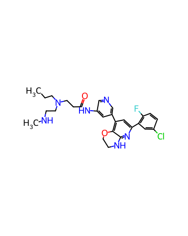 CCCN(CCNC)CCC(=O)Nc1cncc(-c2cc(-c3cc(Cl)ccc3F)nc3c2OCCN3)c1